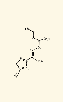 Nc1nc(C(=NOC(CCO)C(=O)O)C(=O)O)ns1